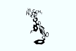 CC(C)(C)OC(=O)N1CCC(C(C(=O)N2CCN(C(=O)OCc3ccccc3)CC2)c2ccc(F)cc2)CC1